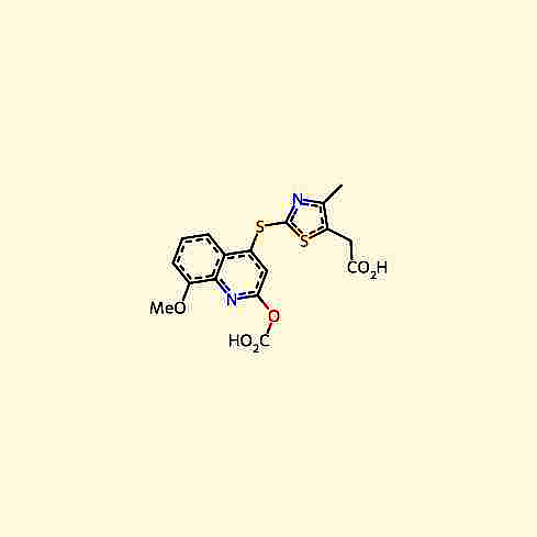 COc1cccc2c(Sc3nc(C)c(CC(=O)O)s3)cc(OC(=O)O)nc12